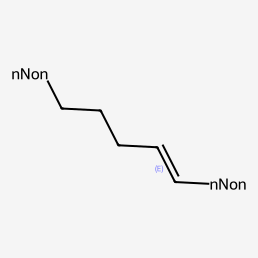 CCCCCCCCC/C=C/CCCCCCCCCCCC